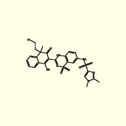 Cc1nc(S(=O)(=O)Nc2ccc3c(c2)S(=O)(=O)N=C(C2=C(O)c4ccccc4C(C)(CCC(C)C)C2=O)N3)cn1C